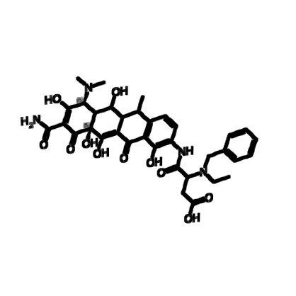 CCN(Cc1ccccc1)C(CC(=O)O)C(=O)Nc1ccc2c(c1O)C(=O)C1=C(O)[C@]3(O)C(=O)C(C(N)=O)=C(O)[C@@H](N(C)C)C3C(O)C1C2C